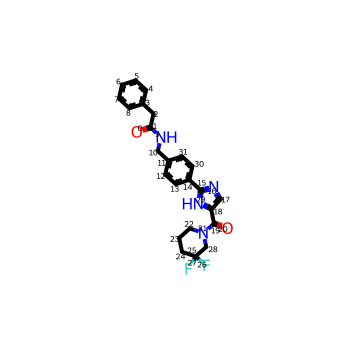 O=C(Cc1ccccc1)NCc1ccc(-c2ncc(C(=O)N3CCCC(F)(F)C3)[nH]2)cc1